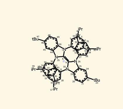 CC(C)c1cc(C(C)C)cc(N2/C(=C3/N(c4cc(C(C)C)cc(C(C)C)c4)c4ccc(C(C)(C)C)cc4N3c3cc(C(C)C)cc(C(C)C)c3)N(c3cc(C(C)C)cc(C(C)C)c3)c3cc(C(C)(C)C)ccc32)c1